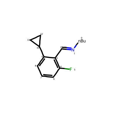 CCCCN=Cc1c(F)cccc1C1CC1